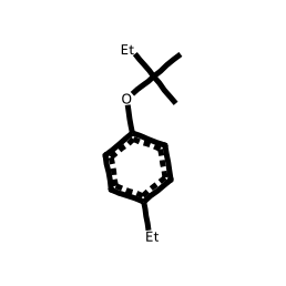 CCc1ccc(OC(C)(C)CC)cc1